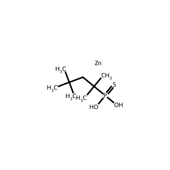 CC(C)(C)CC(C)(C)P(O)(O)=S.[Zn]